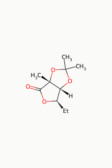 CC[C@H]1OC(=O)[C@]2(C)OC(C)(C)O[C@H]12